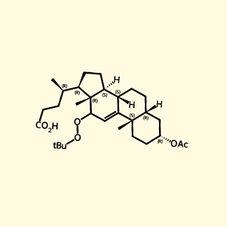 CC(=O)O[C@@H]1CC[C@]2(C)C3=CC(OOC(C)(C)C)[C@]4(C)[C@@H]([C@H](C)CCC(=O)O)CC[C@H]4[C@@H]3CC[C@@H]2C1